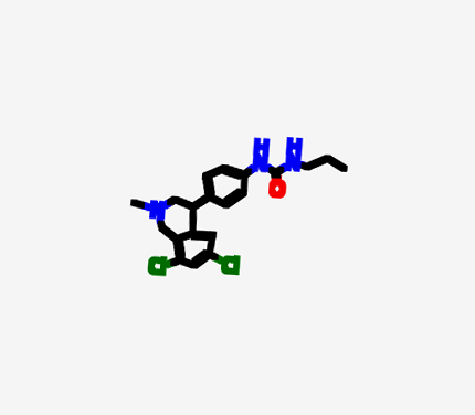 CCCNC(=O)Nc1ccc(C2CN(C)Cc3c(Cl)cc(Cl)cc32)cc1